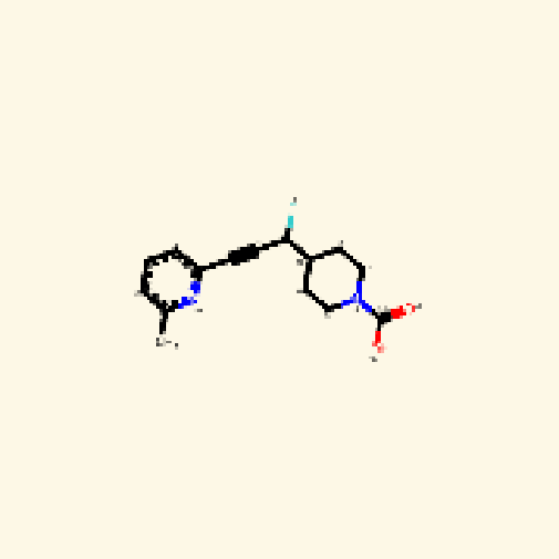 Cc1cccc(C#CC(F)C2CCN(C(=O)O)CC2)n1